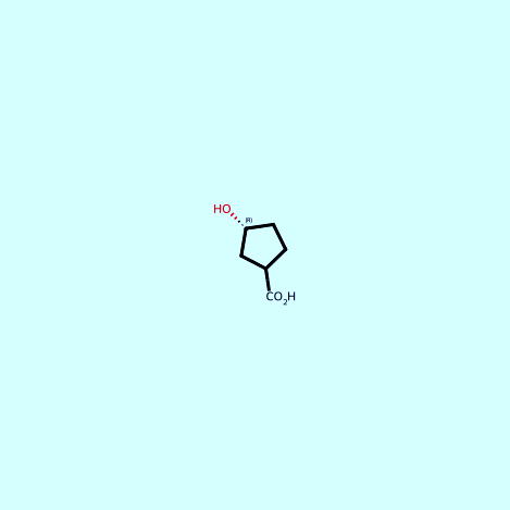 O=C(O)C1CC[C@@H](O)C1